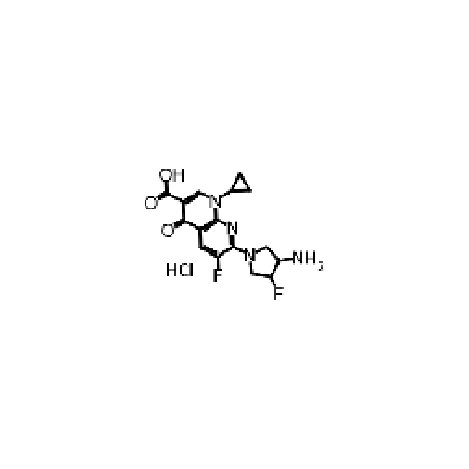 Cl.NC1CN(c2nc3c(cc2F)c(=O)c(C(=O)O)cn3C2CC2)CC1F